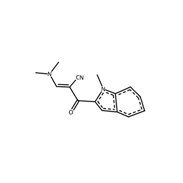 CN(C)/C=C(\C#N)C(=O)c1cc2ccccc2n1C